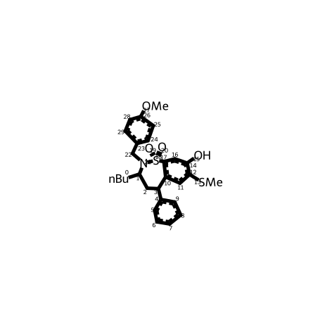 CCCCC1CC(c2ccccc2)c2cc(SC)c(O)cc2S(=O)(=O)N1Cc1ccc(OC)cc1